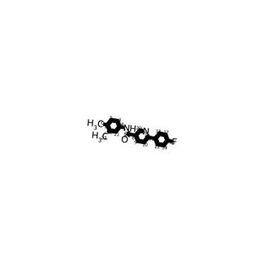 Cc1ccc(NC(=O)c2ccc(-c3ccc(F)cc3)nc2)cc1C